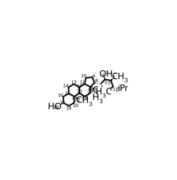 CC(C)[C@H](C)C(C)[C@H](O)C[C@H]1CCC2C3CCC4C[C@H](O)CC[C@]4(C)C3CC[C@@]21C